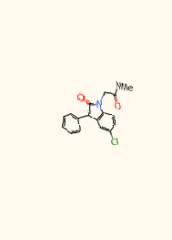 CNC(=O)CN1C(=O)C(c2ccccc2)c2cc(Cl)ccc21